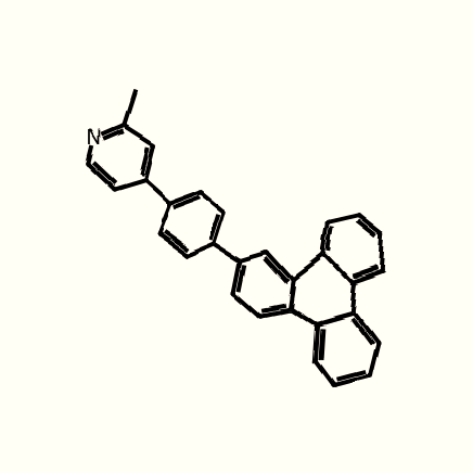 Cc1cc(-c2ccc(-c3ccc4c5ccccc5c5ccccc5c4c3)cc2)ccn1